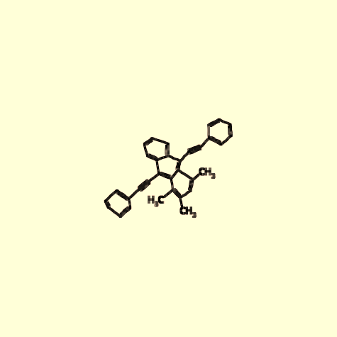 Cc1cc(C)c2c(C#Cc3ccccc3)c3ccccc3c(C#Cc3ccccc3)c2c1C